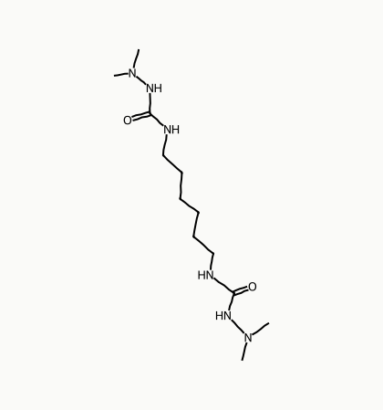 CN(C)NC(=O)NCCCCCCNC(=O)NN(C)C